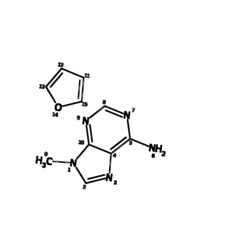 Cn1cnc2c(N)ncnc21.c1ccoc1